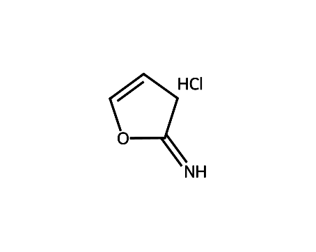 Cl.N=C1CC=CO1